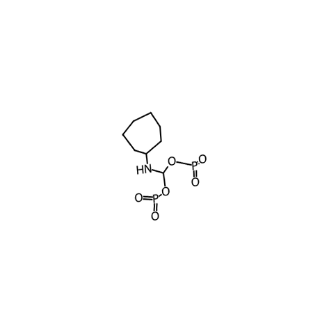 O=P(=O)OC(NC1CCCCCC1)OP(=O)=O